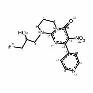 CC(C)CC(O)CN1CCCn2c1nc(-c1ccncc1)c([N+](=O)[O-])c2=O